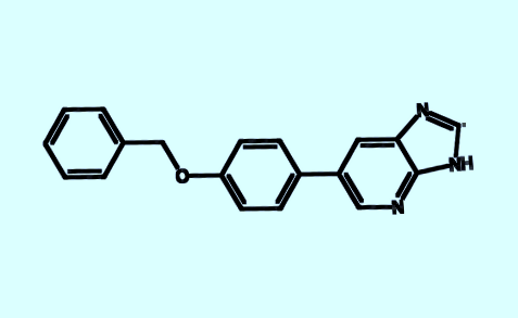 [c]1nc2cc(-c3ccc(OCc4ccccc4)cc3)cnc2[nH]1